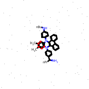 CCCCNc1ccc(N(c2ccc(C)cc2)c2c(N(c3ccc(C)cc3)c3ccc(C(N)CCC)cc3)c3ccccc3c3ccccc23)cc1